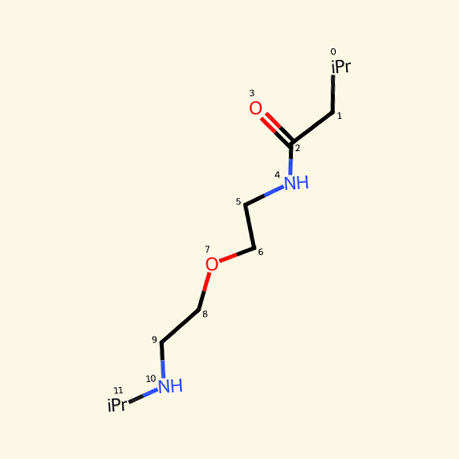 CC(C)CC(=O)NCCOCCNC(C)C